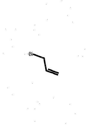 C=C[CH2][Bi]